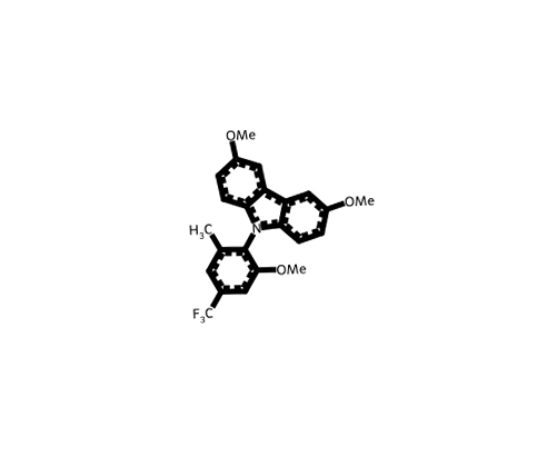 COc1ccc2c(c1)c1cc(OC)ccc1n2-c1c(C)cc(C(F)(F)F)cc1OC